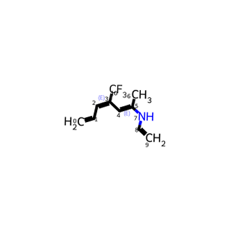 C=C/C=C(\C=C(/C)NC=C)C(F)(F)F